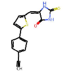 C#Cc1ccc(-c2ccc(C=C3NC(=S)NC3=O)s2)cc1